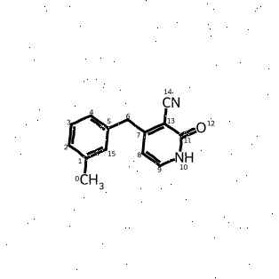 Cc1cccc(Cc2cc[nH]c(=O)c2C#N)c1